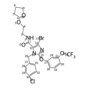 O=C(NCCOC1CCCO1)c1c(Br)nc(Oc2cccc(OC(F)(F)F)c2)n1Cc1ccc(Cl)cc1